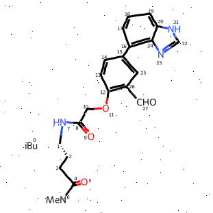 CC[C@H](C)[C@@H](CCC(=O)NC)NC(=O)COc1ccc(-c2cccc3[nH]cnc23)cc1C=O